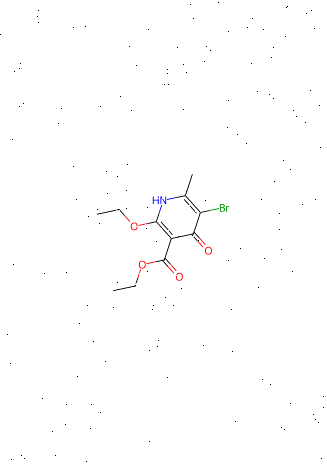 CCOC(=O)c1c(OCC)[nH]c(C)c(Br)c1=O